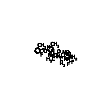 Cc1cn2c(C(=O)NC(C)(CN=O)/C(N)=N/N(N)C(F)F)c(C)nc2c(OCc2c(C)cccc2F)n1